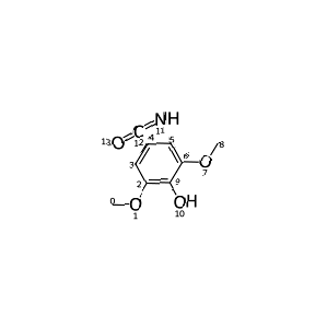 COc1cccc(OC)c1O.N=C=O